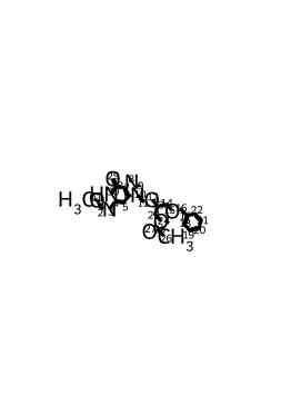 CO/C=N\c1cc2c(ncn2COC(COCc2ccccc2)COC(C)=O)c(=O)[nH]1